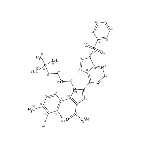 COC(=O)c1cc(-c2ccnc3c2ccn3S(=O)(=O)c2ccccc2)n(COCC[Si](C)(C)C)c1-c1ccc(C)c(F)c1F